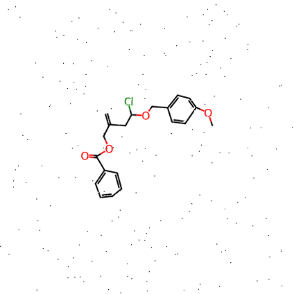 C=C(COC(=O)c1ccccc1)CC(Cl)OCc1ccc(OC)cc1